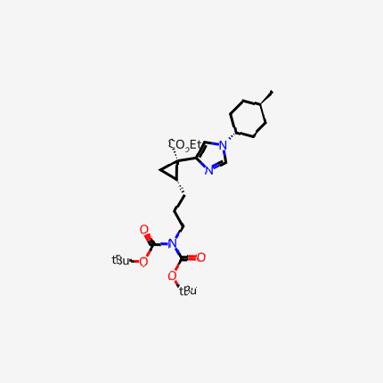 CCOC(=O)[C@@]1(c2cn([C@H]3CC[C@H](C)CC3)cn2)C[C@H]1CCCN(C(=O)OC(C)(C)C)C(=O)OC(C)(C)C